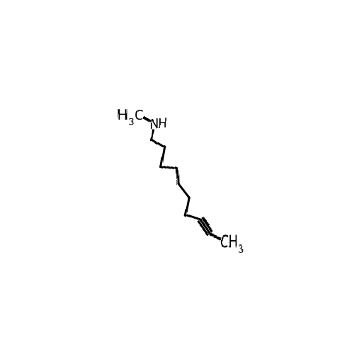 CC#CCCCCCCCNC